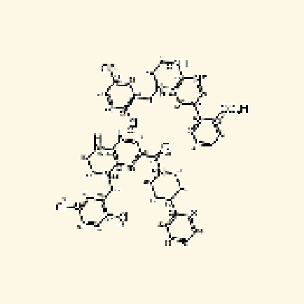 O=C(O)c1ccccc1-c1cnc2c(c1)N(Cc1cc(Cl)ccc1Cl)CCN2.O=C(c1cnc2c(c1)N(Cc1cc(Cl)ccc1Cl)CCN2)N1CCC(c2ccccc2)CC1